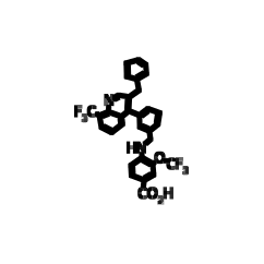 O=C(O)c1ccc(NCc2cccc(-c3c(Cc4ccccc4)cnc4c(C(F)(F)F)cccc34)c2)c(OC(F)(F)F)c1